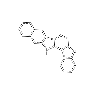 c1ccc2cc3c(cc2c1)[nH]c1c3ccc2oc3ccccc3c21